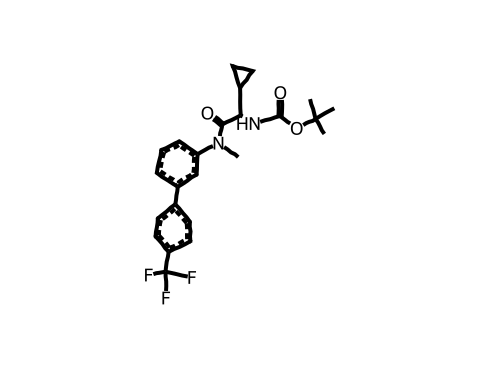 CN(C(=O)C(NC(=O)OC(C)(C)C)C1CC1)c1cccc(-c2ccc(C(F)(F)F)cc2)c1